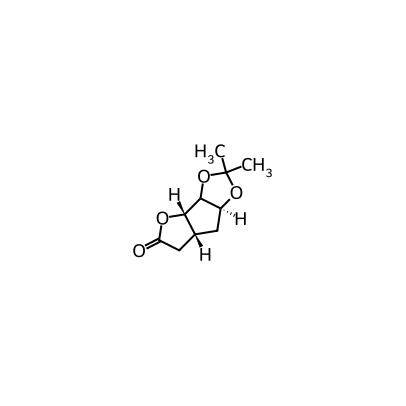 CC1(C)OC2[C@H](C[C@@H]3CC(=O)O[C@H]23)O1